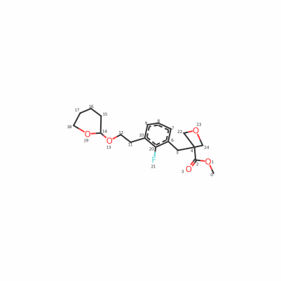 COC(=O)C1(Cc2cccc(CCOC3CCCCO3)c2F)COC1